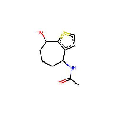 CC(=O)NC1CCCC(O)c2sccc21